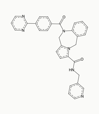 O=C(NCc1cccnc1)c1ccc2n1Cc1ccccc1N(C(=O)c1ccc(-c3ncccn3)cc1)C2